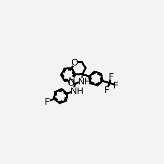 O=C(Nc1ccc(F)cc1)N[C@]1(c2ccc(C(F)(F)F)cc2)CCOc2cccnc21